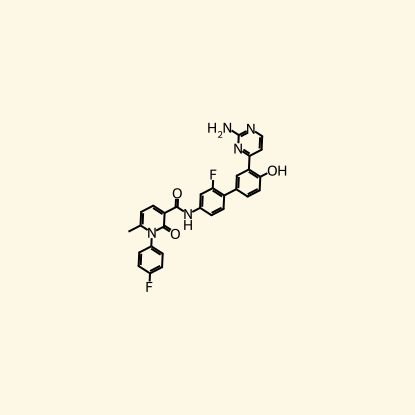 Cc1ccc(C(=O)Nc2ccc(-c3ccc(O)c(-c4ccnc(N)n4)c3)c(F)c2)c(=O)n1-c1ccc(F)cc1